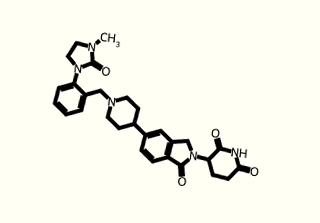 CN1CCN(c2ccccc2CN2CCC(c3ccc4c(c3)CN(C3CCC(=O)NC3=O)C4=O)CC2)C1=O